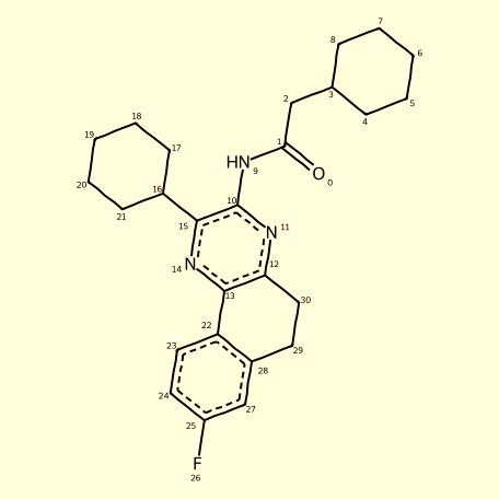 O=C(CC1CCCCC1)Nc1nc2c(nc1C1CCCCC1)-c1ccc(F)cc1CC2